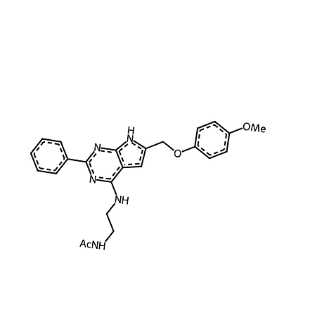 COc1ccc(OCc2cc3c(NCCNC(C)=O)nc(-c4ccccc4)nc3[nH]2)cc1